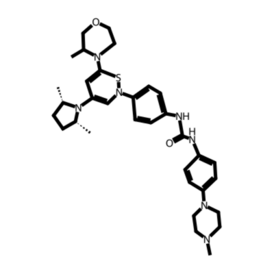 CC1COCCN1C1=CC(N2[C@H](C)CC[C@@H]2C)=CN(c2ccc(NC(=O)Nc3ccc(N4CCN(C)CC4)cc3)cc2)S1